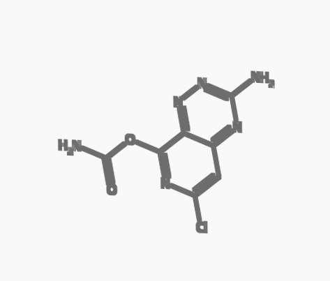 NC(=O)Oc1nc(Cl)cc2nc(N)nnc12